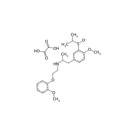 COc1ccccc1OCCNC(C)Cc1ccc(OC)c([S+]([O-])C(C)C)c1.O=C(O)C(=O)O